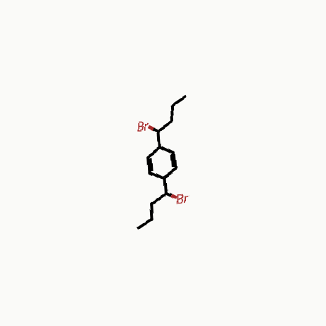 CCCC(Br)C1C=CC(C(Br)CCC)C=C1